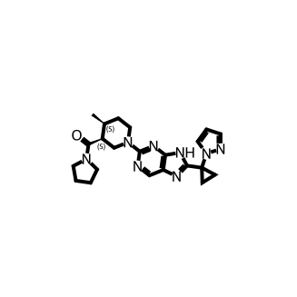 C[C@H]1CCN(c2ncc3nc(C4(n5cccn5)CC4)[nH]c3n2)C[C@H]1C(=O)N1CCCC1